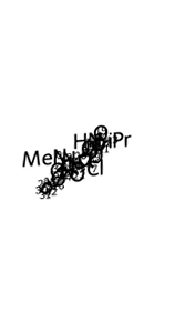 CNc1nn(-c2cc(Cl)c(Oc3cc(C(C)C)c(=O)[nH]n3)c(Cl)c2)c(=O)n(COCc2ccccc2)c1=O